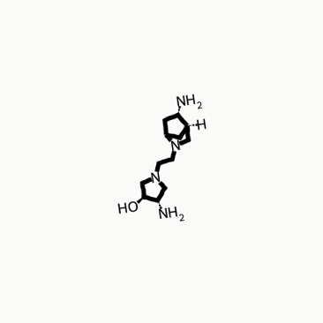 N[C@H]1CC2C[C@@H]1CN2CCN1C[C@H](N)[C@@H](O)C1